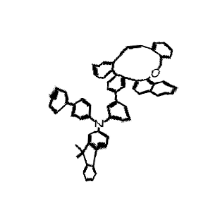 CC1(C)c2ccccc2-c2ccc(N(c3ccc(-c4ccccc4)cc3)c3cccc(-c4ccc5c(c4)-c4ccc6ccccc6c4OCc4ccccc4/C=C\Cc4ccccc4-5)c3)cc21